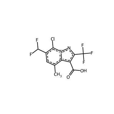 Cc1cc(C(F)F)c(Cl)n2nc(C(F)(F)F)c(C(=O)O)c12